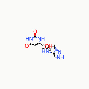 O=C(O)c1cc(=O)[nH]c(=O)[nH]1.ONc1c[nH]nn1